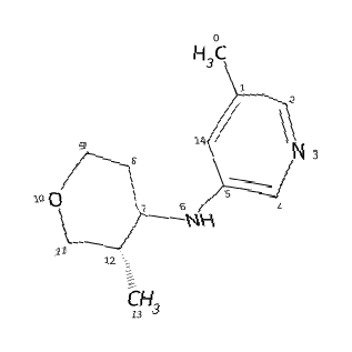 Cc1cncc(NC2CCOC[C@H]2C)c1